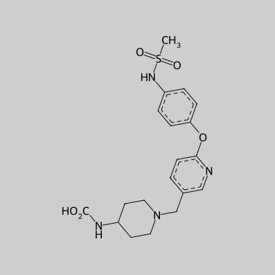 CS(=O)(=O)Nc1ccc(Oc2ccc(CN3CCC(NC(=O)O)CC3)cn2)cc1